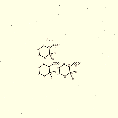 CC1(C)CCCCC1C(=O)[O-].CC1(C)CCCCC1C(=O)[O-].CC1(C)CCCCC1C(=O)[O-].[Ga+3]